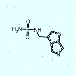 NS(=O)(=O)NCc1csc2cncn12